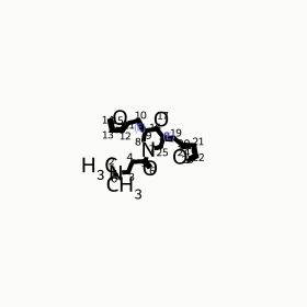 CN(C)CCC(=O)N1C/C(=C\c2ccco2)C(=O)/C(=C/c2ccco2)C1